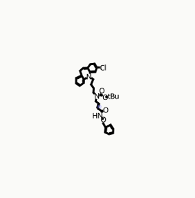 CC(C)(C)OC(=O)N(C/C=C/C(=O)NOCc1ccccc1)CCCCN1C2=CC(Cl)=CCC2=CCc2ccccc21